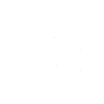 C=C/C(F)=C\C(=C/C)C1C=C(C(C)F)C=CC1NC(=C)/C(=C/C1(S)CCCC1)C(=C)C